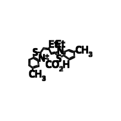 CCC(=Cc1sc2ccc(C)cc2[n+]1CC(=O)O)C=C1Sc2ccc(C)cc2N1CC